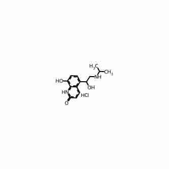 CC(C)NCC(O)c1ccc(O)c2[nH]c(=O)ccc12.Cl